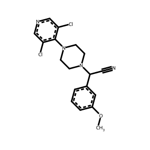 COc1cccc(C(C#N)N2CCN(c3c(Cl)cncc3Cl)CC2)c1